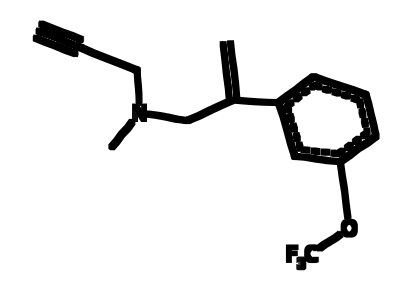 C#CCN(C)CC(=C)c1cccc(OC(F)(F)F)c1